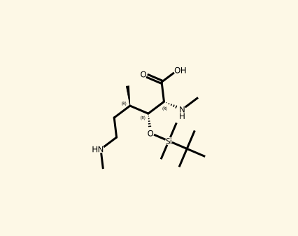 CNCC[C@@H](C)[C@@H](O[Si](C)(C)C(C)(C)C)[C@@H](NC)C(=O)O